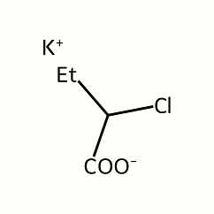 CCC(Cl)C(=O)[O-].[K+]